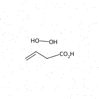 C=CCC(=O)O.OO